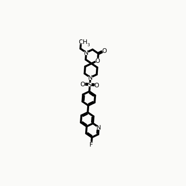 CCN1CC(=O)OC2(CCN(S(=O)(=O)c3ccc(-c4ccc5cc(F)cnc5c4)cc3)CC2)C1